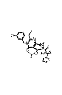 CCc1nc2c(c(OC(C)C)c(C(=O)NC3(c4cccs4)CC3)n2C)c(=O)n1Cc1cccc(Cl)c1